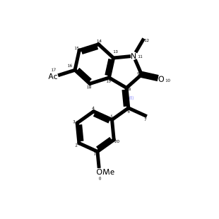 COc1cccc(/C(C)=C2/C(=O)N(C)c3ccc(C(C)=O)cc32)c1